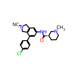 CN1CCC[C@@H](C(=O)Nc2cc3c(c(-c4ccc(Cl)cc4)c2)CN(C#N)C3)C1